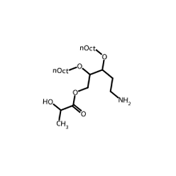 CCCCCCCCOC(CCN)C(COC(=O)C(C)O)OCCCCCCCC